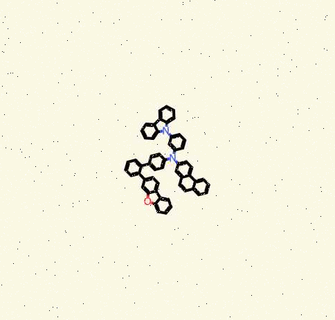 c1cc(N(c2ccc(-c3ccccc3-c3ccc4c(c3)oc3ccccc34)cc2)c2ccc3c(ccc4ccccc43)c2)cc(-n2c3ccccc3c3ccccc32)c1